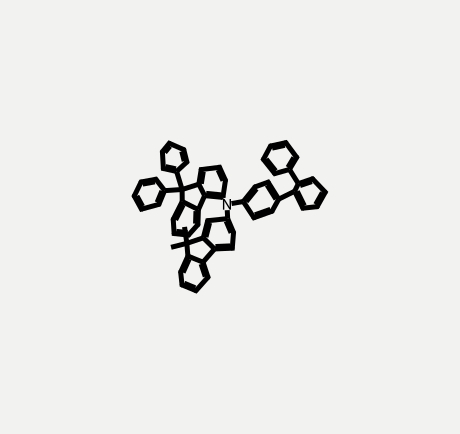 CC1(C)c2ccccc2-c2ccc(N(c3ccc(-c4ccccc4-c4ccccc4)cc3)c3cccc4c3-c3ccccc3C4(c3ccccc3)c3ccccc3)cc21